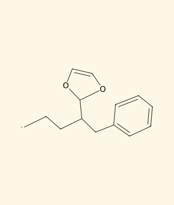 [CH2]CCC(Cc1ccccc1)C1OC=CO1